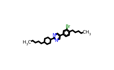 CCCCCc1ccc(-c2cnc(C3CCC(CCCCC)CC3)nc2)cc1Br